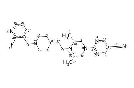 C[C@@H]1CN(c2ncc(C#N)cn2)C[C@H](C)N1CCC1CCN(Cc2cccnc2F)CC1